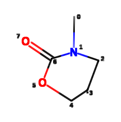 CN1C[CH]COC1=O